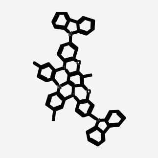 Cc1ccc2c(c1)B1c3ccc(-n4c5ccccc5c5ccccc54)cc3Oc3c(C)c4c5c(c31)N2c1ccc(C)cc1B5c1ccc(-n2c3ccccc3c3ccccc32)cc1O4